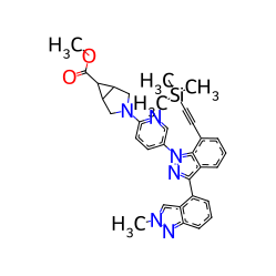 COC(=O)C1C2CN(c3ccc(-n4nc(-c5cccc6nn(C)cc56)c5cccc(C#C[Si](C)(C)C)c54)cn3)CC21